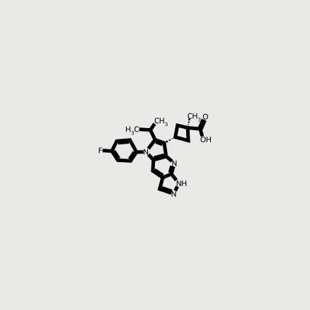 CC(C)c1c([C@H]2C[C@](C)(C(=O)O)C2)c2nc3[nH]ncc3cc2n1-c1ccc(F)cc1